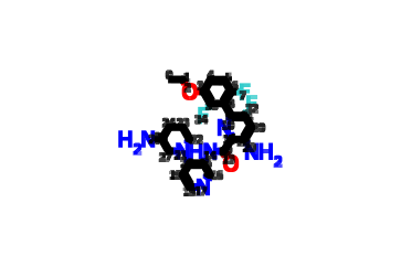 CCOc1ccc(F)c(-c2nc(C(=O)Nc3cnccc3N3CCC[C@H](N)C3)c(N)cc2F)c1F